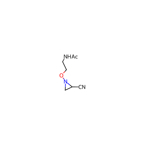 CC(=O)NCCON1CC1C#N